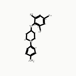 [CH2]c1ccc(N2CCC(Oc3c(F)cc(F)cc3F)CC2)cc1